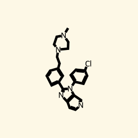 CN1CCN(CCc2cccc(-c3nc4ccncc4n3-c3ccc(Cl)cc3)c2)CC1